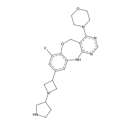 Fc1cc(C2CN(C3CCNC3)C2)cc2c1OCc1c(ncnc1N1CCOCC1)N2